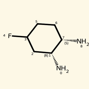 N[C@@H]1CC(F)CC[C@@H]1N